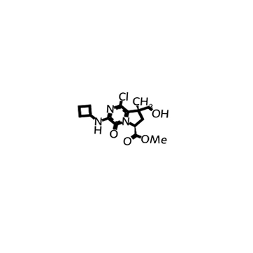 COC(=O)[C@@H]1C[C@@](C)(CO)c2c(Cl)nc(NC3CCC3)c(=O)n21